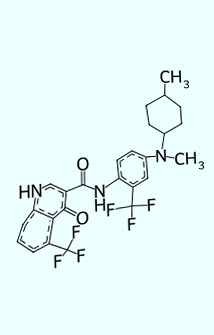 CC1CCC(N(C)c2ccc(NC(=O)c3c[nH]c4cccc(C(F)(F)F)c4c3=O)c(C(F)(F)F)c2)CC1